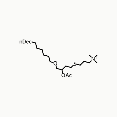 CCCCCCCCCCCCCCCCOCC(CCSCCC[N+](C)(C)C)OC(C)=O